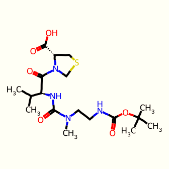 CC(C)[C@H](NC(=O)N(C)CCNC(=O)OC(C)(C)C)C(=O)N1CSC[C@H]1C(=O)O